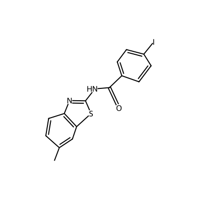 Cc1ccc2nc(NC(=O)c3ccc(I)cc3)sc2c1